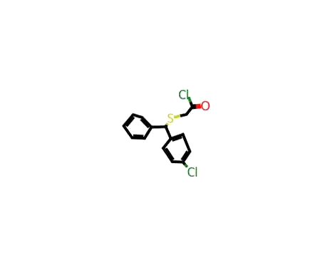 O=C(Cl)CSC(c1ccccc1)c1ccc(Cl)cc1